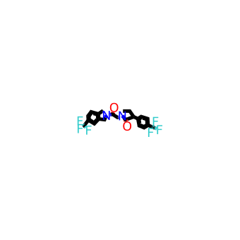 O=C(CN1CCC(c2ccc(C(F)(F)F)cc2)C1=O)N1Cc2ccc(C(F)(F)F)cc2C1